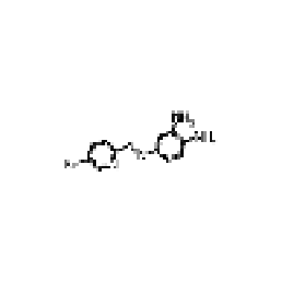 Nc1ccc(N=Nc2ccc(Br)cn2)cc1N